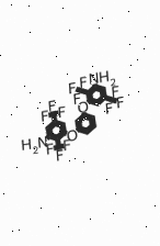 Nc1cc(C(F)(F)F)cc(Oc2cccc(Oc3cc(C(F)(F)F)cc(N)c3C(F)(F)F)c2)c1C(F)(F)F